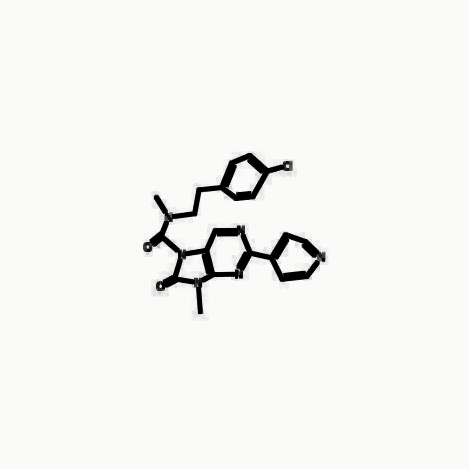 CN(CCc1ccc(Cl)cc1)C(=O)n1c(=O)n(C)c2nc(-c3ccncc3)ncc21